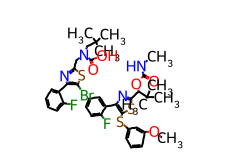 CC(C)(C)CN(Cc1nc(-c2ccccc2F)c(Br)s1)C(=O)O.CNC(=O)OC(c1nc(-c2ccccc2F)c(Sc2cccc(OC)c2)s1)C(C)(C)C